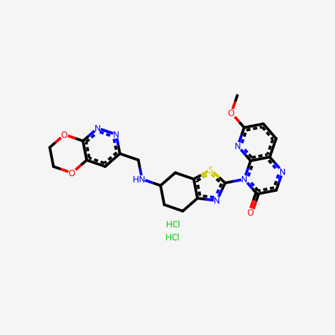 COc1ccc2ncc(=O)n(-c3nc4c(s3)CC(NCc3cc5c(nn3)OCCO5)CC4)c2n1.Cl.Cl